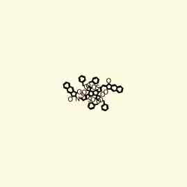 O=C1C(=Cc2cc3c(s2)C2=C(c4sc5cc(N=c6c(=O)c7cc8ccccc8cc7c6=O)sc5c4C2(C(=O)OCc2ccccc2)C(=O)OCc2ccccc2)C3(C(=O)OCc2ccccc2)C(=O)OCc2ccccc2)C(=O)c2cc3ccccc3cc21